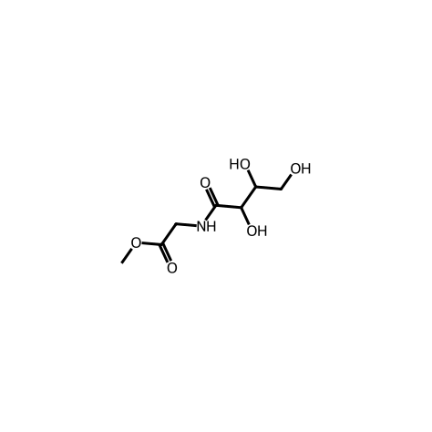 COC(=O)CNC(=O)C(O)C(O)CO